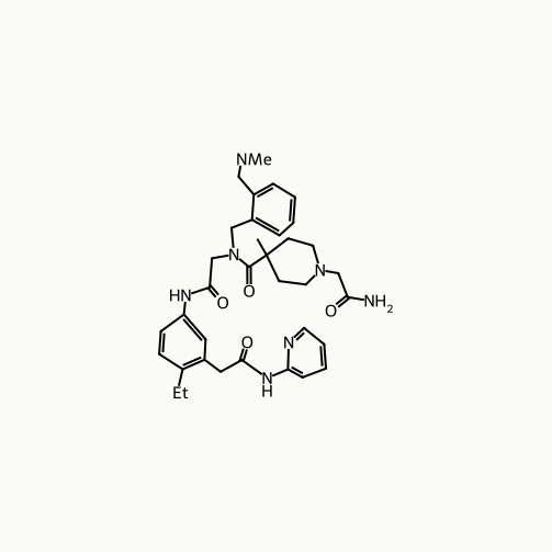 CCc1ccc(NC(=O)CN(Cc2ccccc2CNC)C(=O)C2(C)CCN(CC(N)=O)CC2)cc1CC(=O)Nc1ccccn1